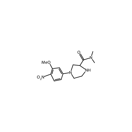 COc1cc(N2CCNC(C(=O)N(C)C)C2)ccc1[N+](=O)[O-]